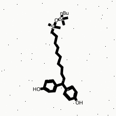 CCCC[Si](C)(C)O[Si](C)(C)CCCCCCCCCCC(c1ccc(O)cc1)c1ccc(O)cc1